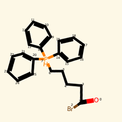 O=C(Br)CCCC[PH](c1ccccc1)(c1ccccc1)c1ccccc1